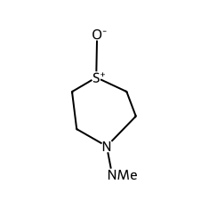 CNN1CC[S+]([O-])CC1